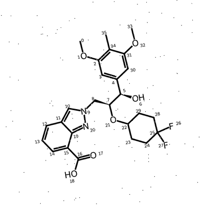 COc1cc([C@@H](O)[C@H](Cn2cc3cccc(C(=O)O)c3n2)OC2CCC(F)(F)CC2)cc(OC)c1C